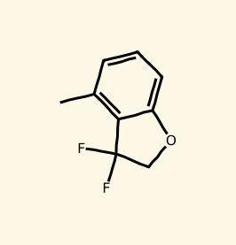 Cc1cccc2c1C(F)(F)CO2